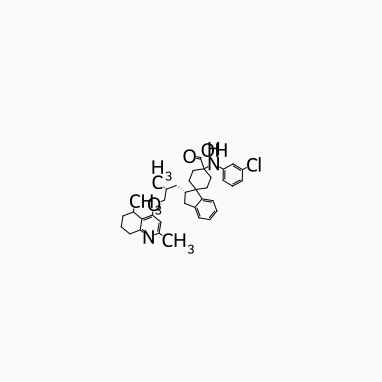 Cc1cc(OC[C@H](C)C[C@H]2Cc3ccccc3C23CCC(Nc2cccc(Cl)c2)(C(=O)O)CC3)c2c(n1)CCCC2C